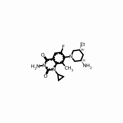 CC[C@@H]1C[C@H](N)CN(c2c(F)cc3c(=O)n(N)c(=O)n(C4CC4)c3c2C)C1